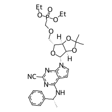 CCOP(=O)(COC[C@H]1O[C@@H](n2ccc3c(N[C@H](C)c4ccccc4)nc(C#N)nc32)[C@@H]2OC(C)(C)O[C@@H]21)OCC